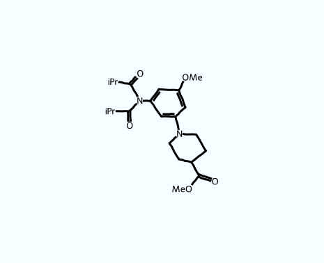 COC(=O)C1CCN(c2cc(OC)cc(N(C(=O)C(C)C)C(=O)C(C)C)c2)CC1